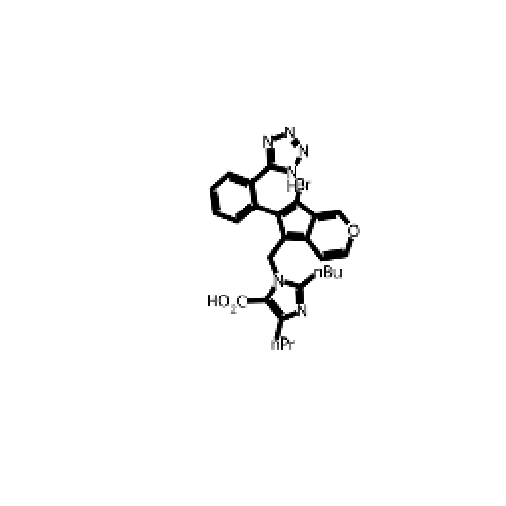 CCCCc1nc(CCC)c(C(=O)O)n1Cc1c2ccocc-2c(Br)c1-c1ccccc1-c1nnn[nH]1